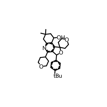 CC1(C)Cc2nc(C3CCOCC3)c3c(c2C(O)C1)C1(CCOCC1)OC3c1ccc(C(C)(C)C)cc1